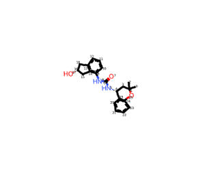 CC1(C)C[C@@H](NC(=O)Nc2cccc3c2C[C@H](O)C3)c2ccccc2O1